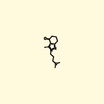 Cc1c2c(nn1CCCN(C)C)CCCC2=O